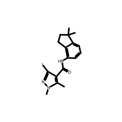 Cc1c(C(=O)Nc2cccc3c2CCC3(C)C)c(I)nn1C